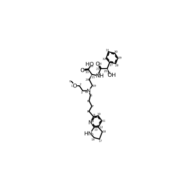 COCCN(CCCCc1ccc2c(n1)NCCC2)CC[C@H](NC(=O)[C@H](O)c1ccccc1)C(=O)O